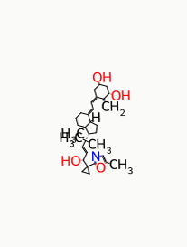 C=C1/C(=C\C=C2/CCC[C@]3(C)[C@@H](C(C)(C)/C=C/[C@@H](O)C4(c5ncc(C)o5)CC4)CC[C@@H]23)C[C@@H](O)C[C@@H]1O